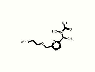 COCCOCc1ccc(C(C)N(O)C(N)=O)o1